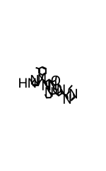 CCc1nccnc1-c1cc(C2CCCN2c2nc(OC)cc(N(c3cccc(C)c3)c3cc[nH]n3)n2)on1